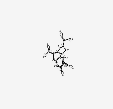 O=C(O)C1Cc2c([N+](=O)[O-])cc3[nH]c(=O)c(=O)[nH]c3c2C1